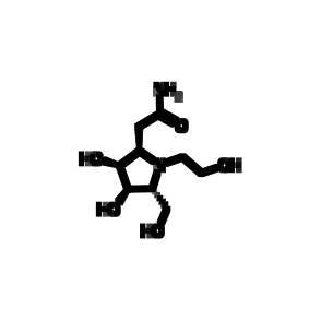 NC(=O)C[C@@H]1[C@H](O)[C@H](O)[C@@H](CO)N1CCO